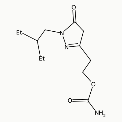 CCC(CC)CN1N=C(CCOC(N)=O)CC1=O